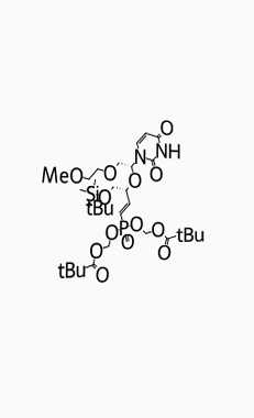 COCCOC[C@@H](O[C@H](/C=C/P(=O)(OCOC(=O)C(C)(C)C)OCOC(=O)C(C)(C)C)CO[Si](C)(C)C(C)(C)C)n1ccc(=O)[nH]c1=O